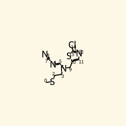 CSCCN(C=NC#N)Cc1cnc(Cl)s1